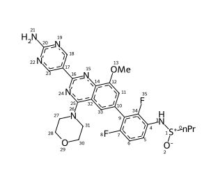 CCC[S+]([O-])Nc1ccc(F)c(-c2cc(OC)c3nc(-c4cnc(N)nc4)nc(N4CCOCC4)c3c2)c1F